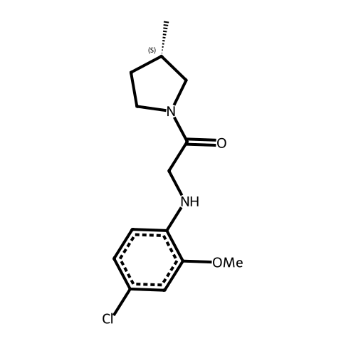 COc1cc(Cl)ccc1NCC(=O)N1CC[C@H](C)C1